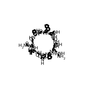 CC[C@@H]1NC(=O)[C@H](Cc2ccccc2)NC(=O)CSC[C@@H](C(=O)NCC(N)=O)NC(=O)[C@H](Cc2cncn2C)NC(=O)[C@H](CC)NC(=O)[C@H](Cc2c[nH]cn2)NC(=O)[C@H](Cc2ccccc2)N(C)C(=O)[C@H](CCCNC(=N)N)NC(=O)[C@H](CO)NC(=O)CNC(=O)C(Cc2c[nH]cn2)NC(=O)[C@H](Cc2cccc3ccccc23)NC1=O